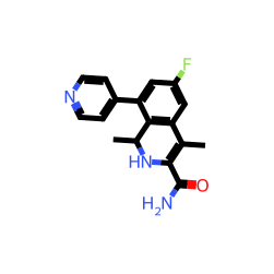 CC1=C(C(N)=O)NC(C)c2c1cc(F)cc2-c1ccncc1